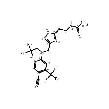 N#Cc1ccc(N(Cc2noc(CCNC(N)=O)n2)CC(F)(F)F)cc1C(F)(F)F